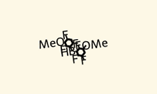 COc1cc(F)c(F)c(Bc2c(F)cc(F)c(OC)c2F)c1F